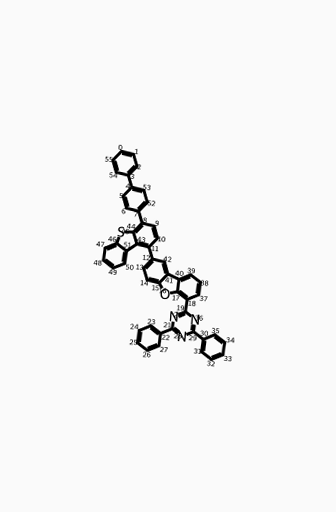 c1ccc(-c2ccc(-c3ccc(-c4ccc5oc6c(-c7nc(-c8ccccc8)nc(-c8ccccc8)n7)cccc6c5c4)c4c3sc3ccccc34)cc2)cc1